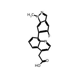 Cn1ncc2cc(F)c(-c3cccc4c(CC(=O)O)ccnc34)cc21